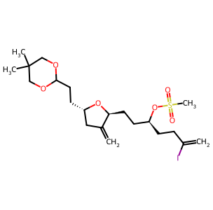 C=C(I)CC[C@@H](CC[C@@H]1O[C@@H](CCC2OCC(C)(C)CO2)CC1=C)OS(C)(=O)=O